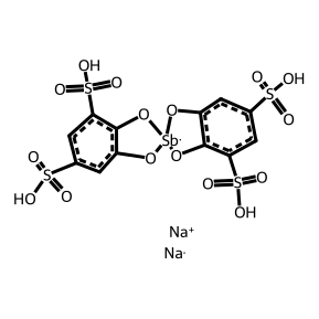 O=S(=O)(O)c1cc2c(c(S(=O)(=O)O)c1)[O][Sb]1([O]2)[O]c2cc(S(=O)(=O)O)cc(S(=O)(=O)O)c2[O]1.[Na+].[Na]